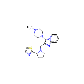 CN1CCN(c2c(CN3CCCC3c3nccs3)nc3ccccn23)CC1